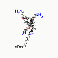 CCCCCCCCCCCCCCCCCCNCCCC(C)C1CC[C@H]2C3[C@H](OCCCN)CC4C[C@H](OCCCN)CC[C@]4(C)[C@H]3C[C@H](OCCCN)[C@]12C